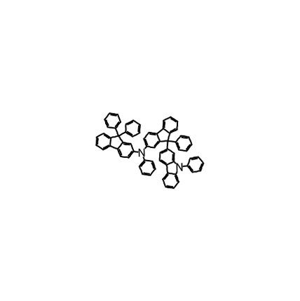 c1ccc(N(c2ccc3c(c2)C(c2ccccc2)(c2ccccc2)c2ccccc2-3)c2ccc3c(c2)C(c2ccccc2)(c2ccc4c5ccccc5n(-c5ccccc5)c4c2)c2ccccc2-3)cc1